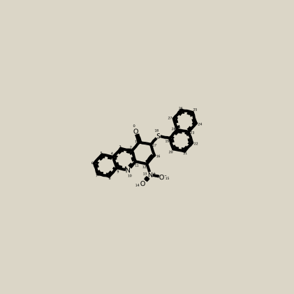 O=C1c2cc3ccccc3nc2C([N+](=O)[O-])=CC1Sc1cccc2ccccc12